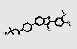 COc1ccc(-c2[nH]c3ccc(C4CCN(C(=O)CC(C)(C)O)CC4)cc3c2Cl)cc1OC